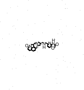 O=C1COc2ccc(CNC[C@H]3CCN(CC4Cn5c(=O)ccc6ccc(F)c4c65)C3)nc2N1